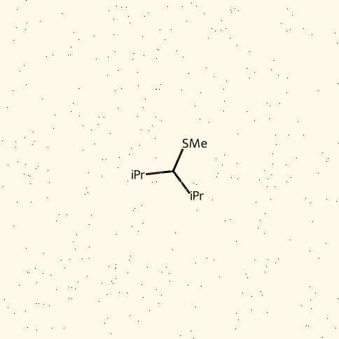 CSC(C(C)C)C(C)C